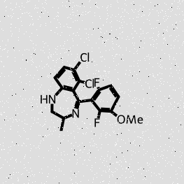 COc1ccc(F)c(C2=NC(C)CNc3ccc(Cl)c(Cl)c32)c1F